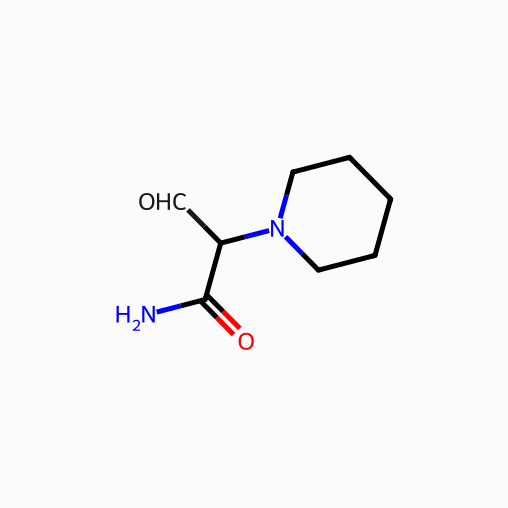 NC(=O)C(C=O)N1CCCCC1